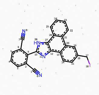 N#Cc1cccc(C#N)c1-c1nc2c3ccc(CI)cc3c3ccccc3c2[nH]1